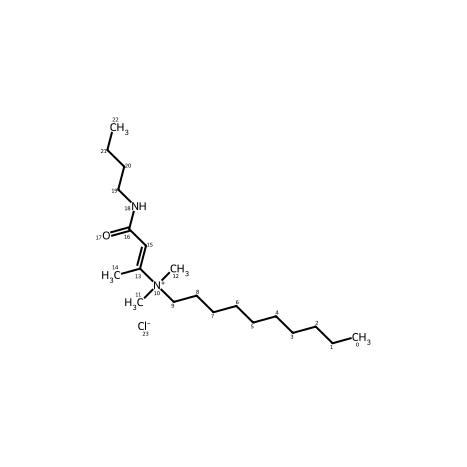 CCCCCCCCCC[N+](C)(C)/C(C)=C/C(=O)NCCCC.[Cl-]